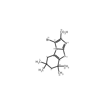 CC1(C)Cc2c(sc3nc(C(=O)O)c(Br)n23)C(C)(C)C1